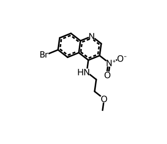 COCCNc1c([N+](=O)[O-])cnc2ccc(Br)cc12